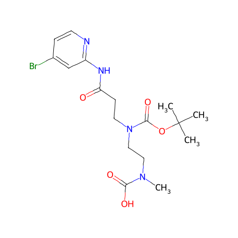 CN(CCN(CCC(=O)Nc1cc(Br)ccn1)C(=O)OC(C)(C)C)C(=O)O